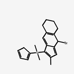 CC1=C([Si](C)(C)C2=CC=CC2)C2=CC3=C(CCCC3)C(Br)C2=C1